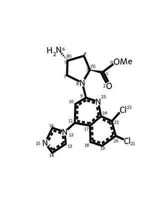 COC(=O)[C@@H]1C[C@@H](N)CN1c1cc(-n2ccnc2)c2ccc(Cl)c(Cl)c2n1